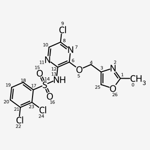 Cc1nc(COc2nc(Cl)cnc2NS(=O)(=O)c2cccc(Cl)c2Cl)co1